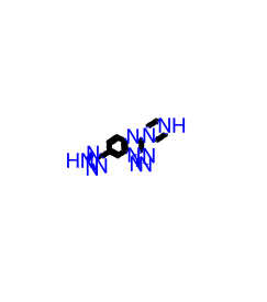 c1cc2nc(N3CCNCC3)c3nnnn3c2cc1-c1nn[nH]n1